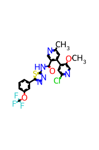 COc1cnc(Cl)cc1-c1cc(C)ncc1C(=O)Nc1nnc(-c2cccc(OC(F)(F)F)c2)s1